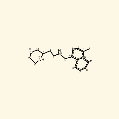 Cc1ccc(CNCCC2COCCN2)c2ccccc12